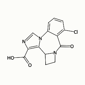 O=C(O)c1ncn2c1C1CCN1C(=O)c1c(Cl)cccc1-2